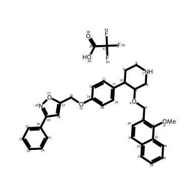 COc1c(COC2CNCCC2c2ccc(OCc3cc(-c4ccccc4)no3)cc2)ccc2ccccc12.O=C(O)C(F)(F)F